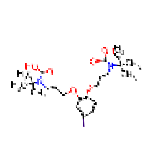 CC(C)(C)N(CCCOc1ccc(I)cc1OCCCN(C(=O)O)C(C)(C)C)C(=O)O